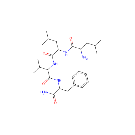 CC(C)CC(N)C(=O)NC(CC(C)C)C(=O)NC(C(=O)NC(Cc1ccccc1)C(N)=O)C(C)C